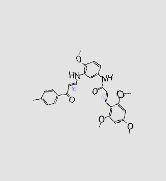 COc1cc(OC)c(/C=C/C(=O)Nc2ccc(OC)c(N/C=C/C(=O)c3ccc(C)cc3)c2)c(OC)c1